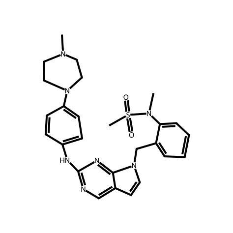 CN1CCN(c2ccc(Nc3ncc4ccn(Cc5ccccc5N(C)S(C)(=O)=O)c4n3)cc2)CC1